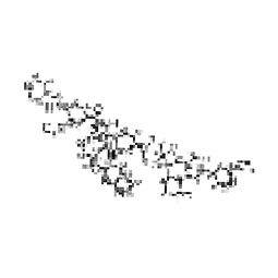 Cc1ccccc1[C@@H]1CN(c2ccnc(C(F)(F)F)c2)CCN1C1CC2(CCN(c3ccc(C(=O)NS(=O)(=O)c4ccc(NCC5CCOCC5)c([N+](=O)[O-])c4)c(N4c5cc6cc[nH]c6nc5O[C@H]5COCC[C@@H]54)c3)CC2)C1